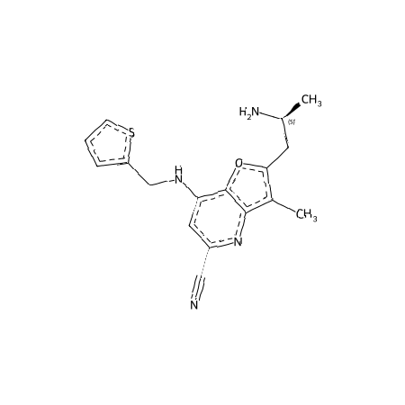 Cc1c(C[C@H](C)N)oc2c(NCc3cccs3)cc(C#N)nc12